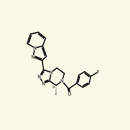 C[C@@H]1c2nnc(-c3cc4ccccn4n3)n2CCN1C(=O)c1ccc(F)cc1